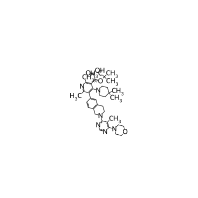 Cc1nc(C)c([C@H](OC(C)(C)C)C(=O)O)c(N2CCC(C)(C)CC2)c1-c1ccc2c(c1)CCN(c1ncnc(N3CCOCC3)c1C)C2